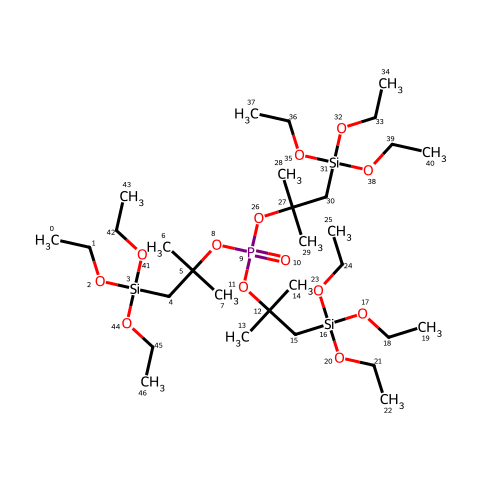 CCO[Si](CC(C)(C)OP(=O)(OC(C)(C)C[Si](OCC)(OCC)OCC)OC(C)(C)C[Si](OCC)(OCC)OCC)(OCC)OCC